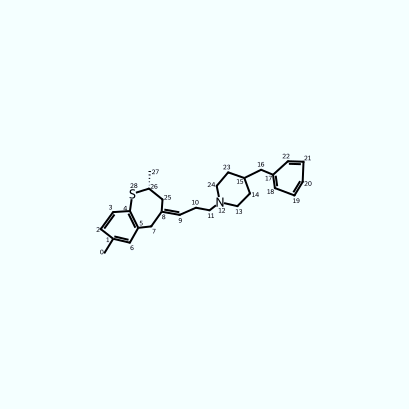 Cc1ccc2c(c1)C/C(=C/CCN1CCC(Cc3ccccc3)CC1)C[C@@H](C)S2